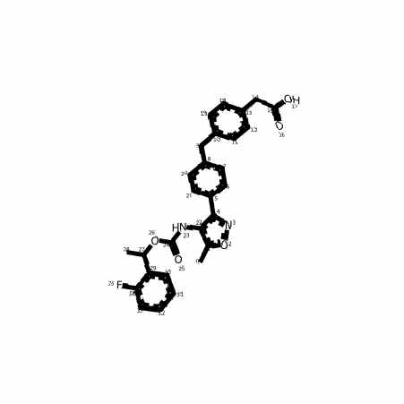 Cc1onc(-c2ccc(Cc3ccc(CC(=O)O)cc3)cc2)c1NC(=O)OC(C)c1ccccc1F